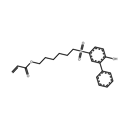 C=CC(=O)OCCCCCCS(=O)(=O)c1ccc(O)c(-c2ccccc2)c1